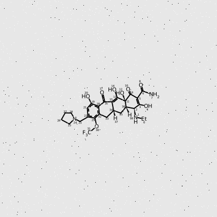 CCN[C@@H]1C(O)=C(C(N)=O)C(=O)[C@@]2(O)C(O)=C3C(=O)c4c(O)cc(CN5CCCC5)c(OC(F)(F)F)c4C[C@H]3C[C@@H]12